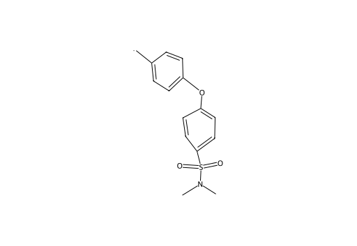 [CH2]c1ccc(Oc2ccc(S(=O)(=O)N(C)C)cc2)cc1